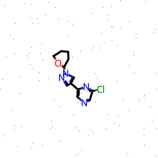 Clc1cncc(-c2cnn(C3CCCCO3)c2)n1